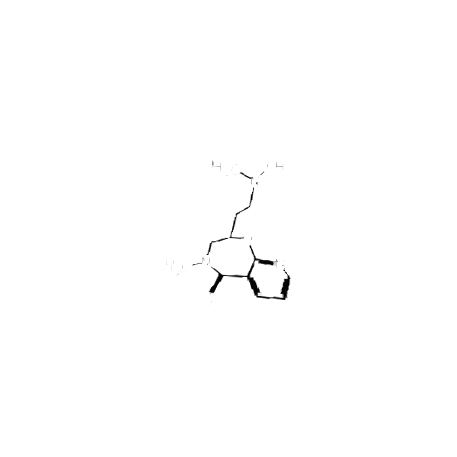 CN(C)CCC1CN(C)C(=S)c2cccnc2O1